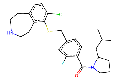 CC(C)CC1CCCN1C(=O)c1ccc(CSc2c(Cl)ccc3c2CCNCC3)cc1F